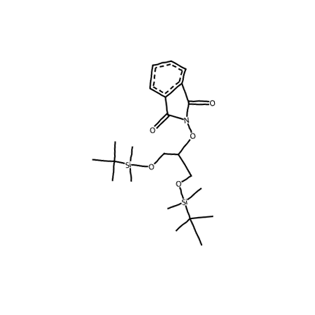 CC(C)(C)[Si](C)(C)OCC(CO[Si](C)(C)C(C)(C)C)ON1C(=O)c2ccccc2C1=O